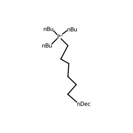 CCCCCCCCCCCCCCCC[P+](CCCC)(CCCC)CCCC